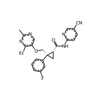 CCc1nc(C)ncc1OC[C@@]1(c2cccc(F)c2)C[C@H]1C(=O)Nc1ccc(C#N)cn1